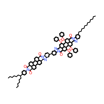 CCCCCCCCCCCCc1ccc2nc3c4cc(Oc5ccccc5)c5c6c(Oc7ccccc7)cc7c(=O)n8c9ccc(C%10=CC%11=NC%12c%13ccc%14c%15ccc%16c%17c(ccc(c%18ccc(c%13c%18%14)C(=O)N%12C%11C=C%10)c%17%15)C(=O)N(c%10ccc(C(CCCCCC)CCCCCC)cc%10)C%16=O)cc9nc8c8cc(Oc9ccccc9)c(c9c(Oc%10ccccc%10)cc(c(=O)n3c2c1)c4c95)c6c78